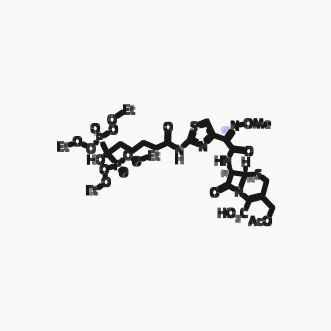 CCOOP(=O)(OOCC)C(O)(CCCCC(=O)Nc1nc(/C(=N/OC)C(=O)N[C@@H]2C(=O)N3C(C(=O)O)=C(COC(C)=O)CS[C@@H]23)cs1)P(=O)(OOCC)OOCC